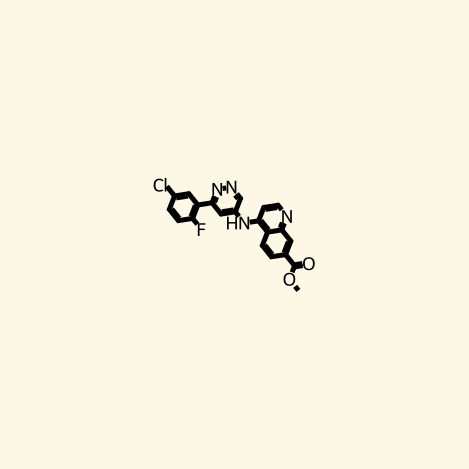 COC(=O)c1ccc2c(Nc3cnnc(-c4cc(Cl)ccc4F)c3)ccnc2c1